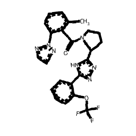 Cc1cccc(-n2nccn2)c1C(=O)N1CCCC1c1nnc(-c2ccccc2OC(F)(F)F)[nH]1